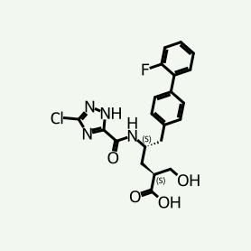 O=C(N[C@H](Cc1ccc(-c2ccccc2F)cc1)C[C@@H](CO)C(=O)O)c1nc(Cl)n[nH]1